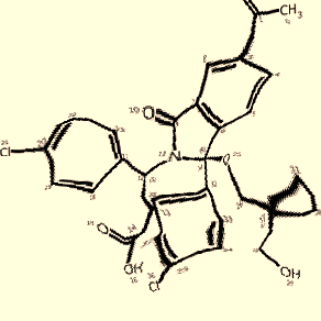 CC(=O)c1ccc2c(c1)C(=O)N([C@@H](CC(=O)O)c1ccc(Cl)cc1)[C@@]2(OCC1(CO)CC1)c1ccc(Cl)cc1